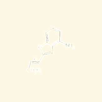 CCOC(=O)/C=C/c1cc2c(N)cccc2o1